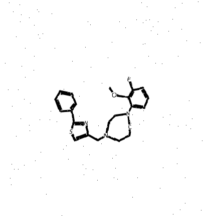 COc1c(F)cccc1N1CCCN(Cc2csc(-c3ccccc3)n2)CC1